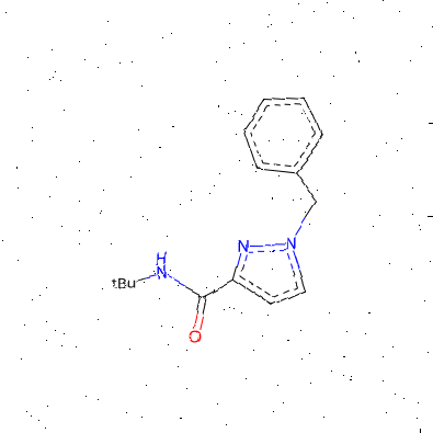 CC(C)(C)NC(=O)c1ccn(Cc2ccccc2)n1